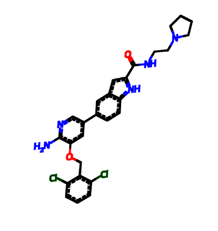 Nc1ncc(-c2ccc3[nH]c(C(=O)NCCN4CCCC4)cc3c2)cc1OCc1c(Cl)cccc1Cl